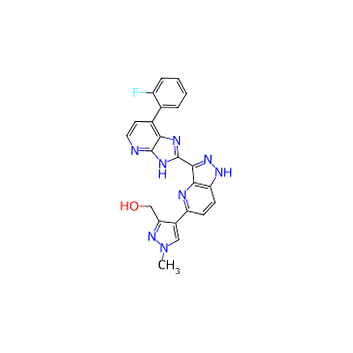 Cn1cc(-c2ccc3[nH]nc(-c4nc5c(-c6ccccc6F)ccnc5[nH]4)c3n2)c(CO)n1